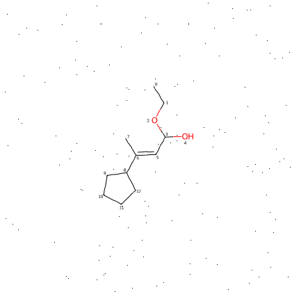 CCOC(O)/C=C(\C)C1CCCC1